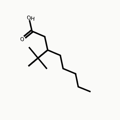 CCCCCC(CC(=O)O)C(C)(C)C